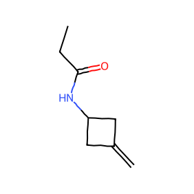 C=C1CC(NC(=O)CC)C1